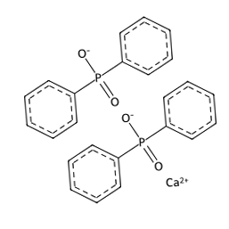 O=P([O-])(c1ccccc1)c1ccccc1.O=P([O-])(c1ccccc1)c1ccccc1.[Ca+2]